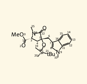 COC(=O)[C@H]1C[C@@](Cc2cn(C)c3ccccc23)(O[Si](C)(C)C(C)(C)C)C(=O)N1C